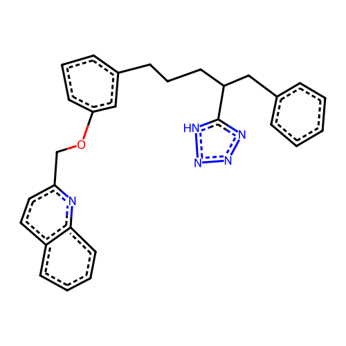 c1ccc(CC(CCCc2cccc(OCc3ccc4ccccc4n3)c2)c2nnn[nH]2)cc1